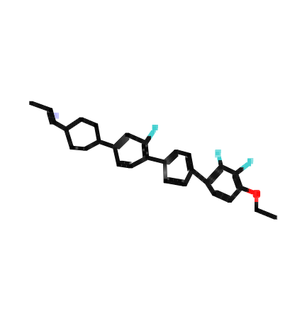 C/C=C/C1CCC(c2ccc(-c3ccc(-c4ccc(OCC)c(F)c4F)cc3)c(F)c2)CC1